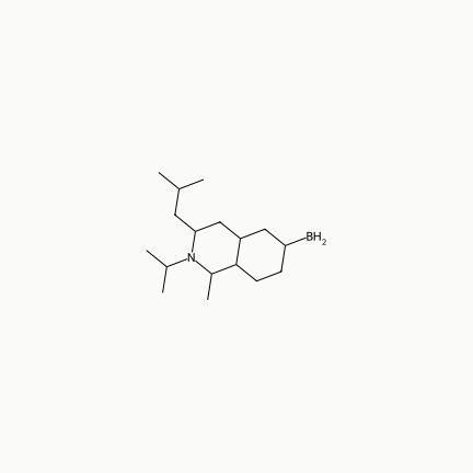 BC1CCC2C(C1)CC(CC(C)C)N(C(C)C)C2C